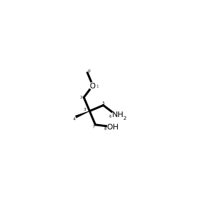 COC[C@](C)(CN)CO